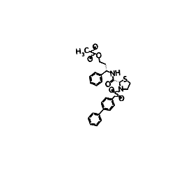 CS(=O)(=O)OCC[C@H](NC(=O)[C@@H]1SCCN1S(=O)(=O)c1ccc(-c2ccccc2)cc1)c1ccccc1